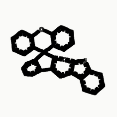 c1ccc2c(c1)Oc1ccccc1C21c2ccccc2-c2cc3c(cc21)sc1ccccc13